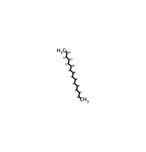 C[CH]CCCCCCCCCCCCCC